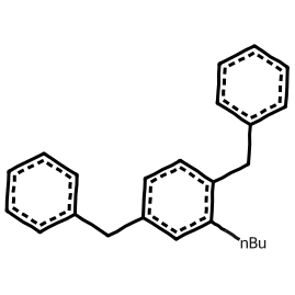 CCCCc1cc(Cc2ccccc2)ccc1Cc1ccccc1